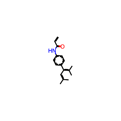 C=CC(=O)Nc1ccc(C(C=C(C)C)=C(C)C)cc1